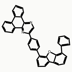 c1ccc(-c2cccc3c2oc2c(-c4ccc(-c5cnc6c7ccccc7c7ccccc7c6n5)cc4)cccc23)cc1